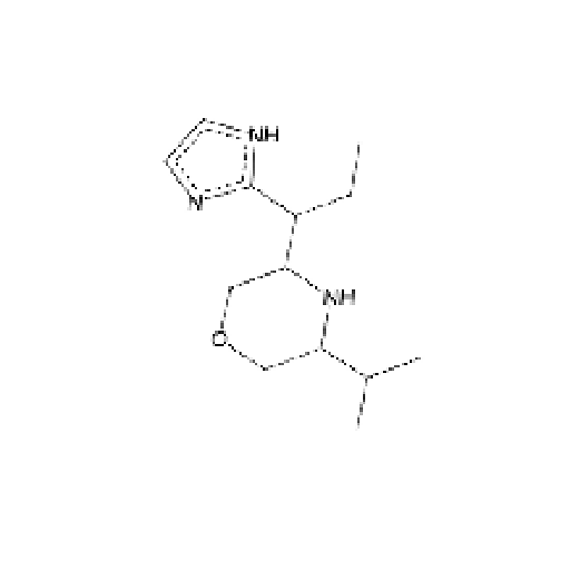 CCC(c1ncc[nH]1)C1COCC(C(C)C)N1